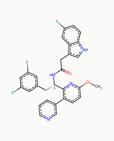 COc1ccc(-c2cccnc2)c([C@H](Cc2cc(F)cc(F)c2)NC(=O)Cc2c[nH]c3ccc(F)cc23)n1